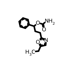 CCc1cnc(CCC(OC(N)=O)c2ccccc2)o1